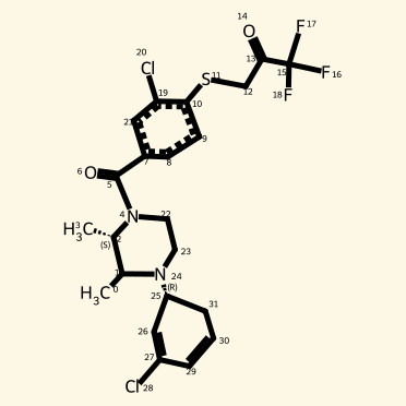 CC1[C@H](C)N(C(=O)c2ccc(SCC(=O)C(F)(F)F)c(Cl)c2)CCN1[C@H]1C=C(Cl)C=CC1